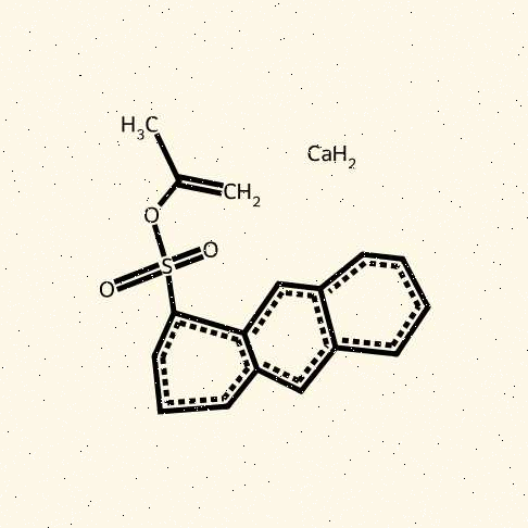 C=C(C)OS(=O)(=O)c1cccc2cc3ccccc3cc12.[CaH2]